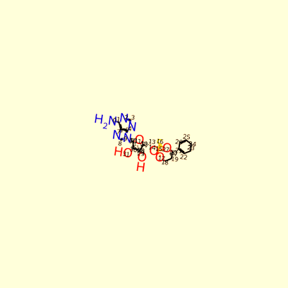 Nc1ncnc2c1ncn2[C@@H]1O[C@H](COP2(=S)OCC[C@@H](C3=CCCC=C3)O2)[C@H](O)[C@@H]1O